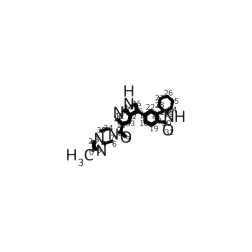 Cc1cn2c(n1)CN(C(=O)c1cnc3[nH]cc(-c4ccc5c(c4)C4(CCCCC4)NC5=O)c3c1)CC2